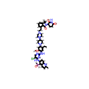 CCc1cc(Nc2ncc(Br)c(Nc3ccc4nc(C)ccc4c3P(C)(C)=O)n2)c(OC)cc1N1CCC(N2CCN(CCc3cccc4c3C(=O)N(C3CCC(=O)NC3=O)C4(C)C)CC2)CC1